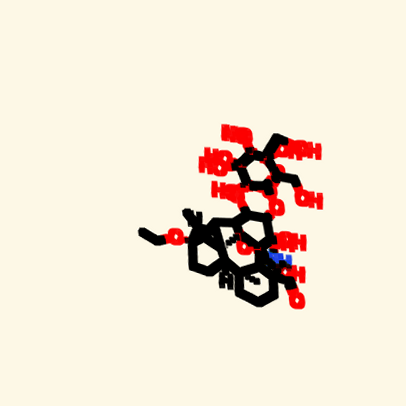 CCO[C@]12CC[C@@H]3[C@](CC[C@@]4(NO)[C@@]3(C)CCC[C@@]4(C)C=O)(CC1C)[C@H]2CC1OC(CO)C(O)C(OC2OC(CO)C(O)C(O)C2O)C1OC1OC(CO)C(O)C(O)C1O